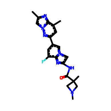 Cc1cn2nc(-c3cc(F)c4nc(NC(=O)C5(C)CN(C)C5)cn4c3)cc(C)c2n1